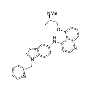 CN[C@H](C)COc1cccc2ncnc(Nc3ccc4c(cnn4Cc4ccccn4)c3)c12